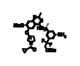 COCC(F)(F)c1cc(N)cc([C@@H](C)Nc2nc(C)nc3cc(OC)c(O[C@H]4CCN(C(=O)C5CC5)C4)cc23)c1